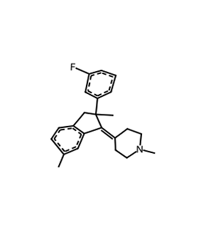 Cc1ccc2c(c1)C(=C1CCN(C)CC1)C(C)(c1cccc(F)c1)C2